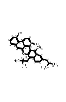 Cc1c2c(c(CC(C)(C)C)c3ccc(CC(C)C)cc13)Oc1cc3cccc(F)c3c3cc[n+](C)c-2c13